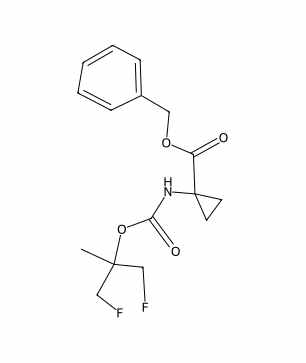 CC(CF)(CF)OC(=O)NC1(C(=O)OCc2ccccc2)CC1